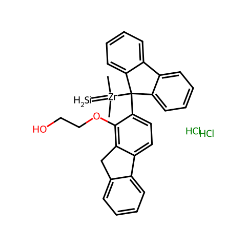 Cl.Cl.[CH3][Zr]([CH3])(=[SiH2])[C]1(c2ccc3c(c2OCCO)Cc2ccccc2-3)c2ccccc2-c2ccccc21